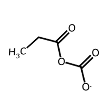 CCC(=O)OC([O])=O